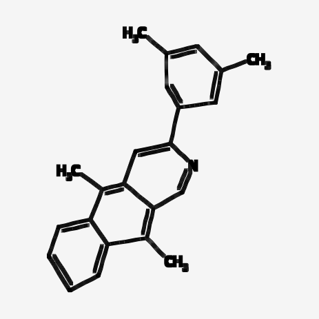 Cc1cc(C)cc(-c2cc3c(C)c4ccccc4c(C)c3cn2)c1